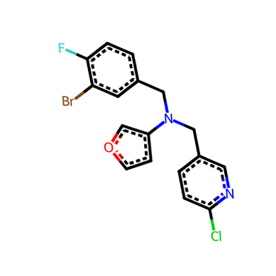 Fc1ccc(CN(Cc2ccc(Cl)nc2)c2ccoc2)cc1Br